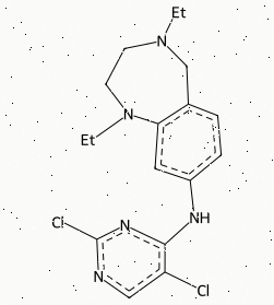 CCN1CCN(CC)c2cc(Nc3nc(Cl)ncc3Cl)ccc2C1